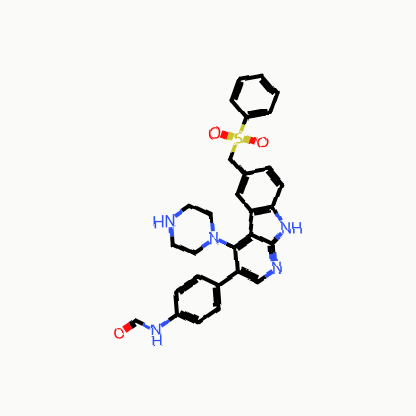 O=CNc1ccc(-c2cnc3[nH]c4ccc(CS(=O)(=O)c5ccccc5)cc4c3c2N2CCNCC2)cc1